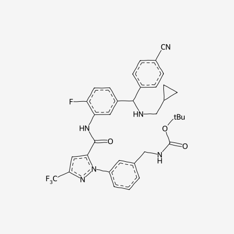 CC(C)(C)OC(=O)NCc1cccc(-n2nc(C(F)(F)F)cc2C(=O)Nc2cc(C(NCC3CC3)c3ccc(C#N)cc3)ccc2F)c1